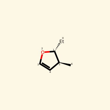 CC[C@H]1OC=C[C@@H]1C